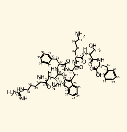 C[C@@H](O)[C@H](NC(=O)[C@H](CCCCN)NC(=O)[C@@H](Cc1c[nH]c2ccccc12)NC(=O)[C@H](Cc1ccccc1)NC(=O)[C@H](CS)NC(=O)[C@@H](N)CCCNC(=N)N)C(=O)N[C@@H](Cc1ccccc1)C(=O)O